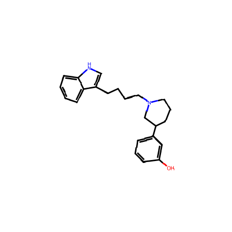 Oc1cccc(C2CCCN(CCCCc3c[nH]c4ccccc34)C2)c1